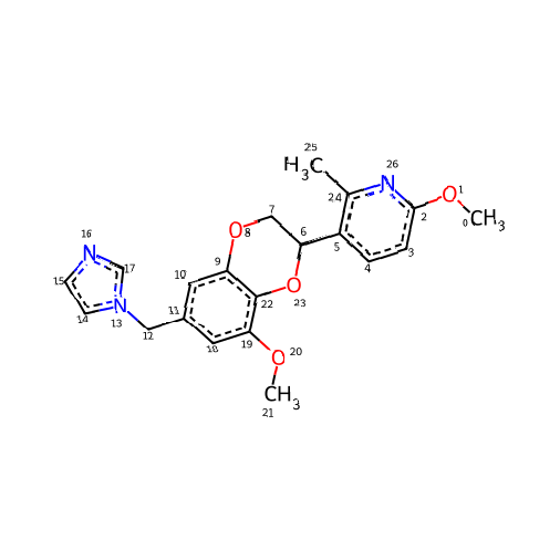 COc1ccc(C2COc3cc(Cn4ccnc4)cc(OC)c3O2)c(C)n1